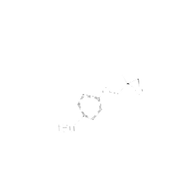 CC1(COc2ccc(C(C)(C)C)cc2)CO1